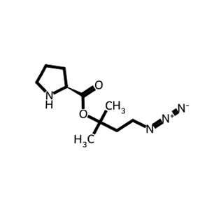 CC(C)(CCN=[N+]=[N-])OC(=O)[C@@H]1CCCN1